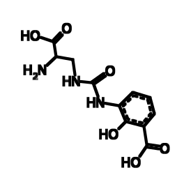 NC(CNC(=O)Nc1cccc(C(=O)O)c1O)C(=O)O